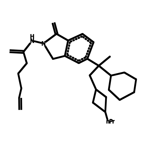 C=CCCCC(=C)NN1Cc2cc(C(C)(CC3CC(CCC)C3)C3CCCCC3)ccc2C1=C